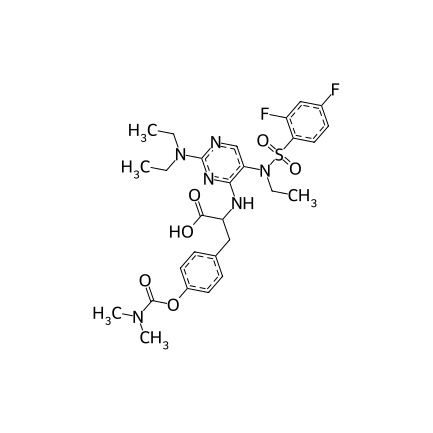 CCN(CC)c1ncc(N(CC)S(=O)(=O)c2ccc(F)cc2F)c(NC(Cc2ccc(OC(=O)N(C)C)cc2)C(=O)O)n1